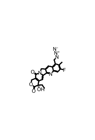 CC[C@@]1(O)C(=O)OCc2c1cc1n(c2=O)Cc2cc3c(CN=[N+]=[N-])c(C)c(F)cc3nc2-1